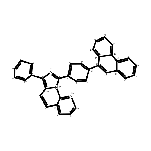 c1ccc(-c2nc(-c3ccc(-c4cc5ccccc5c5ccccc45)cc3)n3c2ccc2cccnc23)cc1